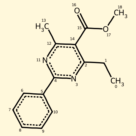 CCc1nc(-c2ccccc2)nc(C)c1C(=O)OC